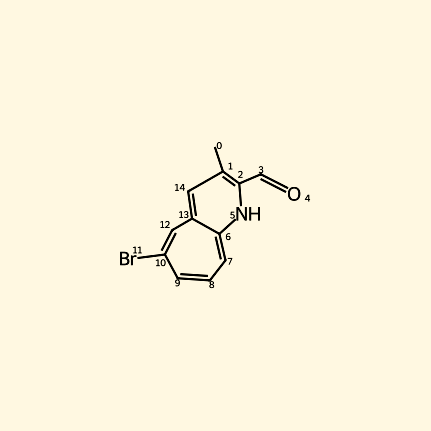 CC1=C(C=O)NC2=CC=CC(Br)=CC2=C1